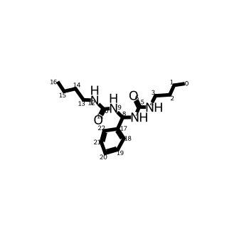 CCCCNC(=O)NC(NC(=O)NCCCC)c1ccccc1